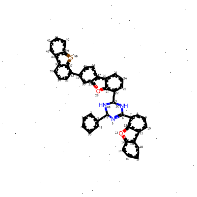 c1ccc(C2N=C(c3cccc4c3oc3ccccc34)NC(c3cccc4c3oc3cc(-c5cccc6c5sc5ccccc56)ccc34)N2)cc1